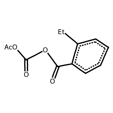 CCc1ccccc1C(=O)OC(=O)OC(C)=O